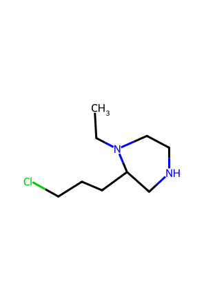 CCN1CCNCC1CCCCl